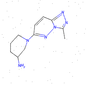 Cc1nnc2ccc(N3CCCC(N)C3)nn12